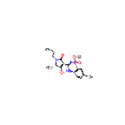 CCOP1(=O)N=C(C2=C(O)[C@H](C(C)(C)C)N(CCC(C)(C)C)C2=O)Nc2ccc(C#N)cc21